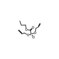 C=CCOP(=O)(OCC=C)C(=O)OCCC